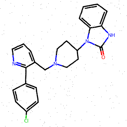 O=c1[nH]c2ccccc2n1C1CCN(Cc2cccnc2-c2ccc(Cl)cc2)CC1